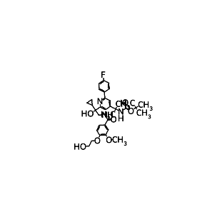 COc1cc(C(=O)NCC(O)(c2cc(C(C)(C)NC(=O)OC(C)(C)C)cc(-c3ccc(F)cc3)n2)C2CC2)ccc1OCCO